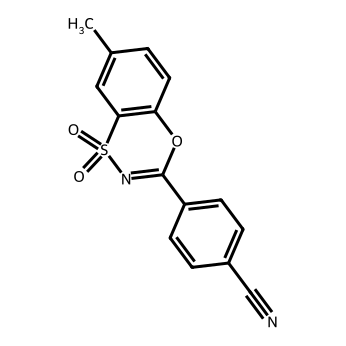 Cc1ccc2c(c1)S(=O)(=O)N=C(c1ccc(C#N)cc1)O2